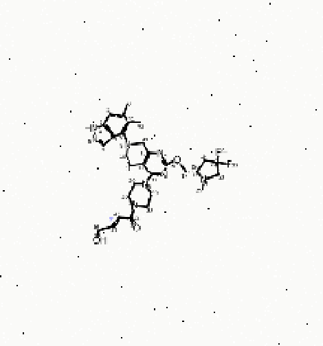 Cc1cc2[nH]ncc2c(N2CCc3c(nc(OC[C@@H]4CC(F)(F)CN4C)nc3N3CCN(C(=O)/C=C/CO)CC3)C2)c1C